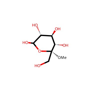 CO[C@]1(CO)OC(O)[C@H](O)[C@@H](O)[C@@H]1O